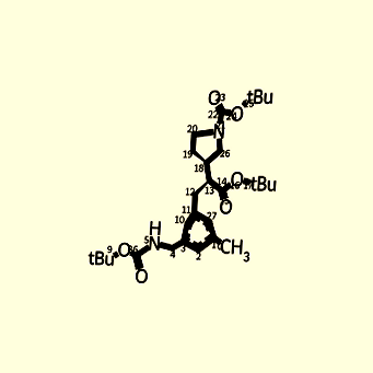 Cc1cc(CNC(=O)OC(C)(C)C)cc(C[C@H](C(=O)OC(C)(C)C)[C@H]2CCN(C(=O)OC(C)(C)C)C2)c1